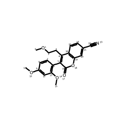 COCCc1c(-c2ccc(OC)cc2OC)c(=O)oc2cc(C#N)ccc12